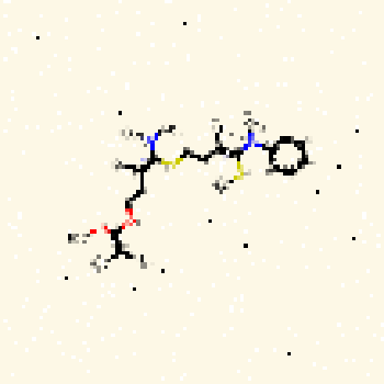 COC(OCC/C(C)=C(\SCC/C(C)=C(\SC)N(C)c1ccccc1)N(C)C)=C(C)C